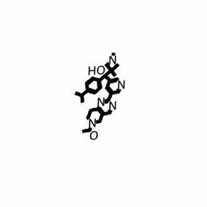 CC(=O)N1CCc2nc(-c3cncc(C(O)(c4ccc(C(C)C)cc4)C4(C)CN(C)C4)c3)ncc2C1